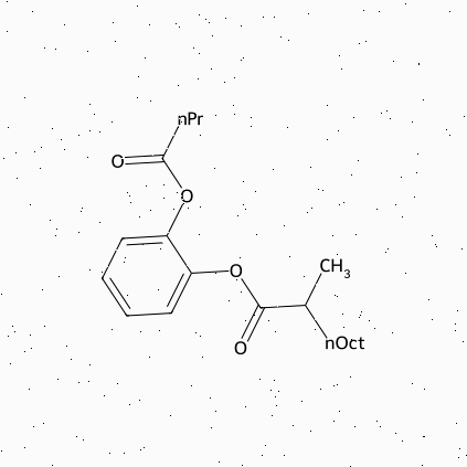 CCCCCCCCC(C)C(=O)Oc1ccccc1OC(=O)CCC